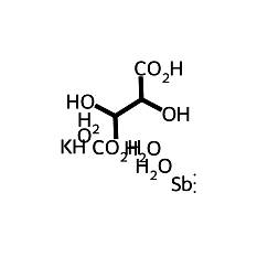 O.O.O.O=C(O)C(O)C(O)C(=O)O.[KH].[Sb]